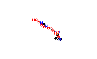 O=C(NCCOCCO)c1cccc(C(=O)NCCOCCOCCOCCNS(=O)(=O)c2ccc(O[C@H]3c4ccccc4C[C@@H]3N3CCCCC3)cc2)c1